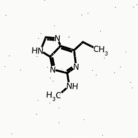 CCc1nc(NC)nc2[nH]cnc12